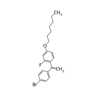 C=C(c1ccc(Br)cc1)c1ccc(OCCCCCCC)cc1F